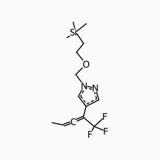 CC=C=C(c1cnn(COCC[Si](C)(C)C)c1)C(F)(F)F